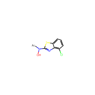 CC(=O)N(O)c1nc2c(Cl)cccc2s1